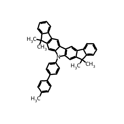 Cc1ccc(-c2ccc(-n3c4cc5c(cc4c4cc6c(cc43)C(C)(C)c3ccccc3-6)-c3ccccc3C5(C)C)cc2)cc1